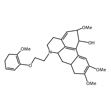 COC1=C(OC)CC2CC3C4=C(C2=C1)C(O)C(OC)C=C4CCN3CCOC1=C(OC)CCC=C1